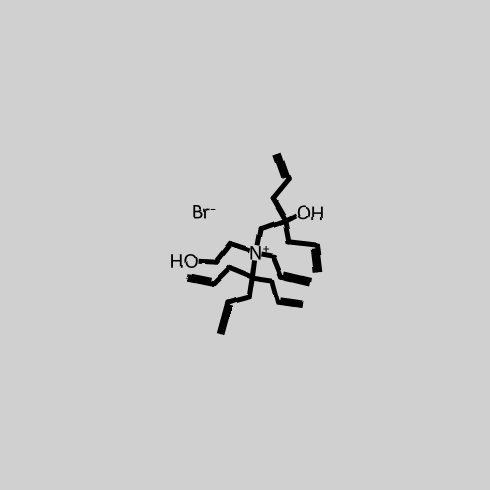 C=CCC(O)(CC=C)C[N+](CC=C)(CCO)C(CC=C)(CC=C)CC=C.[Br-]